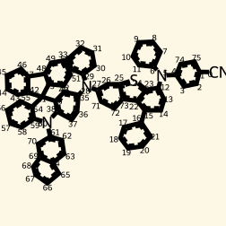 N#Cc1ccc(N(c2ccccc2)c2ccc(-c3ccccc3)c3c2sc2cc(N(c4ccccc4)c4ccc5c(c4)C4(c6ccccc6-c6ccccc64)c4ccccc4N5c4ccc5ccccc5c4)ccc23)cc1